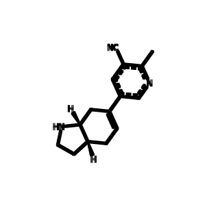 Cc1ncc(C2=CC[C@@H]3CCN[C@@H]3C2)cc1C#N